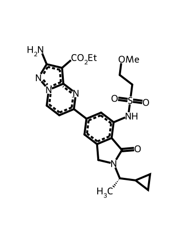 CCOC(=O)c1c(N)nn2ccc(-c3cc4c(c(NS(=O)(=O)CCOC)c3)C(=O)N([C@@H](C)C3CC3)C4)nc12